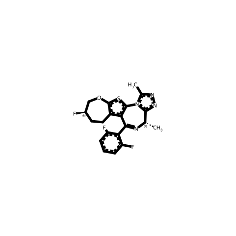 Cc1nnc2n1-c1sc3c(c1C(c1c(F)cccc1F)=N[C@H]2C)CC[C@@H](F)CO3